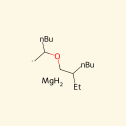 [CH2]C(CCCC)OCC(CC)CCCC.[MgH2]